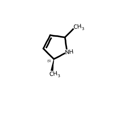 CC1C=C[C@H](C)N1